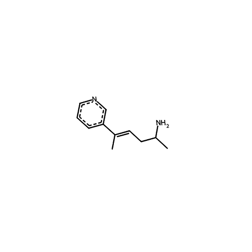 CC(=CCC(C)N)c1cccnc1